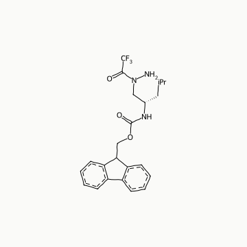 CC(C)C[C@@H](CN(N)C(=O)C(F)(F)F)NC(=O)OCC1c2ccccc2-c2ccccc21